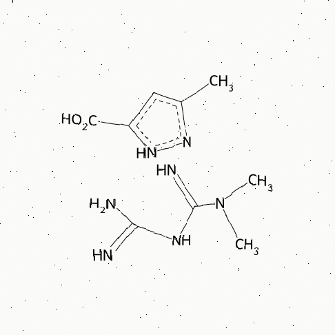 CN(C)C(=N)NC(=N)N.Cc1cc(C(=O)O)[nH]n1